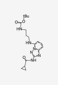 CC(C)(C)OC(=O)NCCCNc1cccc2nc(NC(=O)C3CC3)nn12